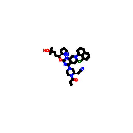 C=CC(=O)N1CCN(c2nc(OC(CCC(C)(C)O)[C@@H]3CCCN3)nc3c2CCN(c2cccc4cccc(Cl)c24)C3)C[C@@H]1CC#N